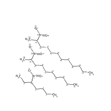 CCCCC(CC)[N+](=O)[O-].CCCCCCCCC(C)[N+](=O)[O-].CCCCCCCCCCC(C)[N+](=O)[O-]